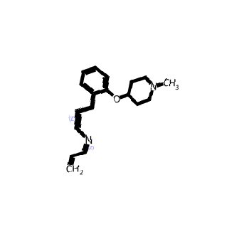 C=C/C=N\C=C/Cc1ccccc1OC1CCN(C)CC1